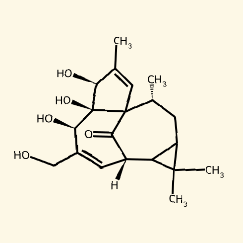 CC1=CC23C(=O)[C@@H](C=C(CO)[C@@H](O)[C@]2(O)[C@H]1O)C1C(C[C@H]3C)C1(C)C